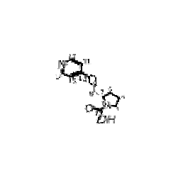 O=C(O)N1CCC[C@H]1COc1ccncc1